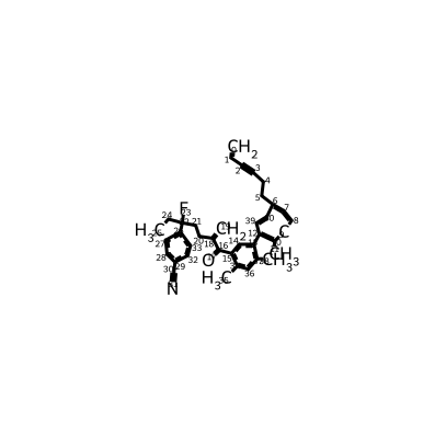 C=CC#CCCC1=C=CC/C(C)=C(c2cc(C(=O)C(=C)CCC(F)(CC)c3ccc(C#N)cc3)c(C)cc2C)\C=C\1